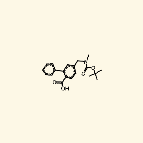 CN(Cc1ccc(C(=O)O)c(-c2ccccc2)c1)C(=O)OC(C)(C)C